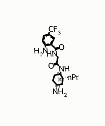 CCC[C@@H]1C[C@H](N)CC[C@@H]1NC(=O)CNC(=O)c1cc(C(F)(F)F)ccc1N